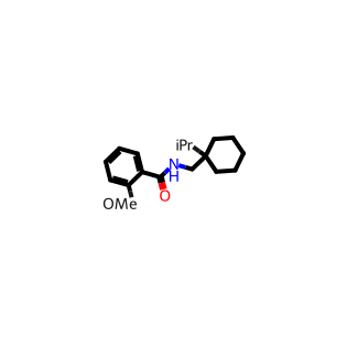 COc1ccccc1C(=O)NCC1(C(C)C)CCCCC1